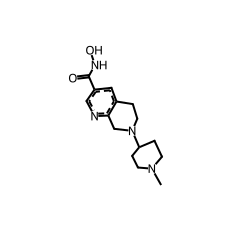 CN1CCC(N2CCc3cc(C(=O)NO)cnc3C2)CC1